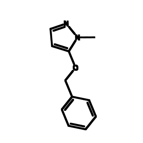 Cn1nccc1OCc1ccccc1